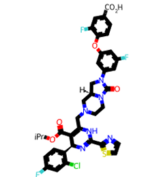 CC(C)OC(=O)C1=C(CN2CCN3C(=O)N(c4cc(F)cc(Oc5ccc(C(=O)O)cc5F)c4)C[C@@H]3C2)NC(c2nccs2)=N[C@H]1c1ccc(F)cc1Cl